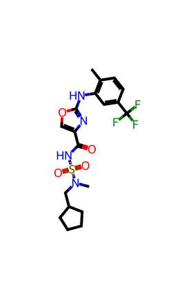 Cc1ccc(C(F)(F)F)cc1Nc1nc(C(=O)NS(=O)(=O)N(C)CC2CCCC2)co1